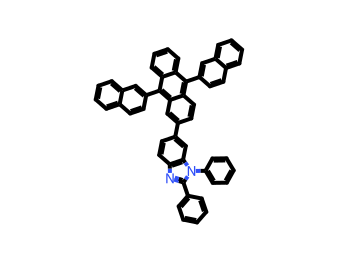 c1ccc(-c2nc3ccc(-c4ccc5c(-c6ccc7ccccc7c6)c6ccccc6c(-c6ccc7ccccc7c6)c5c4)cc3n2-c2ccccc2)cc1